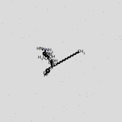 CCCCCCCCCCCCCCCCCCOC[C@H](COP(=O)(O)OC[C@H]1O[C@@](C)(c2ccc(/C(N)=N\C=N)[nH]2)[C@H](O)[C@@H]1O)OCc1ccc(C(F)(F)F)cc1